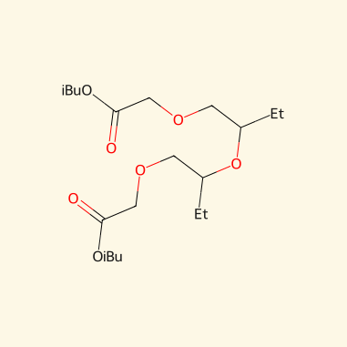 CCC(COCC(=O)OCC(C)C)OC(CC)COCC(=O)OCC(C)C